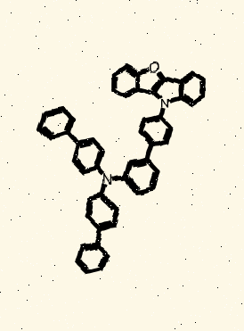 c1ccc(-c2ccc(N(c3ccc(-c4ccccc4)cc3)c3cccc(-c4ccc(-n5c6ccccc6c6oc7ccccc7c65)cc4)c3)cc2)cc1